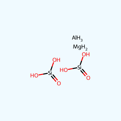 O=[Si](O)O.O=[Si](O)O.[AlH3].[MgH2]